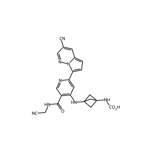 N#CCNC(=O)c1cnc(-c2ccc3cc(C#N)cnn23)cc1NC12CC(NC(=O)O)(C1)C2